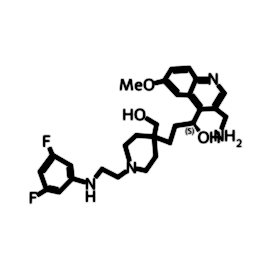 COc1ccc2ncc(CN)c([C@@H](O)CCC3(CO)CCN(CCNc4cc(F)cc(F)c4)CC3)c2c1